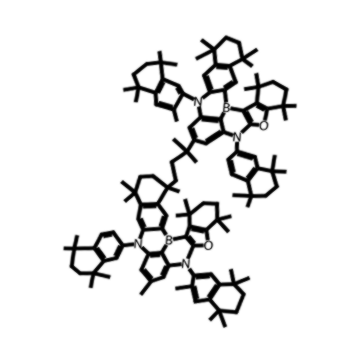 Cc1cc2c3c(c1)N(c1cc4c(cc1C)C(C)(C)CCC4(C)C)c1oc4c(c1B3c1cc3c(cc1N2c1ccc2c(c1)C(C)(C)CCC2(C)C)C(C)(C)CCC3(C)CCC(C)(C)c1cc2c3c(c1)N(c1ccc5c(c1)C(C)(C)CCC5(C)C)c1oc5c(c1B3c1cc3c(cc1N2c1cc2c(cc1C)C(C)(C)CCC2(C)C)C(C)(C)CCC3(C)C)C(C)(C)CCC5(C)C)C(C)(C)CCC4(C)C